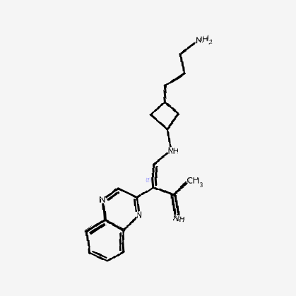 CC(=N)/C(=C\NC1CC(CCCN)C1)c1cnc2ccccc2n1